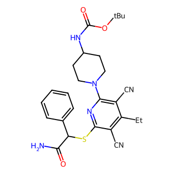 CCc1c(C#N)c(SC(C(N)=O)c2ccccc2)nc(N2CCC(NC(=O)OC(C)(C)C)CC2)c1C#N